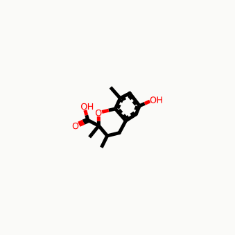 Cc1cc(O)cc2c1OC(C)(C(=O)O)C(C)C2